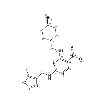 Cc1ocnc1CNc1ncc([N+](=O)[O-])c(NC[C@H]2CC[C@H](N)CC2)n1